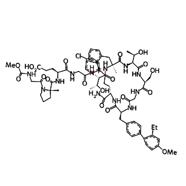 CCc1cc(OC)ccc1-c1ccc(C[C@H](NC(=O)CNC(=O)[C@H](CO)NC(=O)[C@@H](NC(=O)[C@](C)(Cc2ccccc2F)NC(=O)[C@@H](NC(=O)CNC(=O)[C@H](CCC(=O)O)NC(=O)[C@]2(C)CCCN2C(=O)CNC(=O)OC)[C@@H](C)O)[C@@H](C)O)C(=O)N[C@@H](CCCc2ccc(Cl)cc2)C(N)=O)cc1